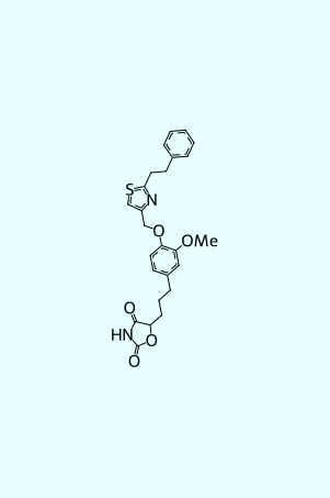 COc1cc(CCCC2OC(=O)NC2=O)ccc1OCc1csc(CCc2ccccc2)n1